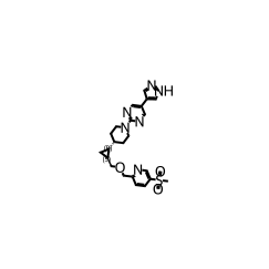 CS(=O)(=O)c1ccc(COC[C@H]2C[C@@H]2C2CCN(c3ncc(-c4cn[nH]c4)cn3)CC2)nc1